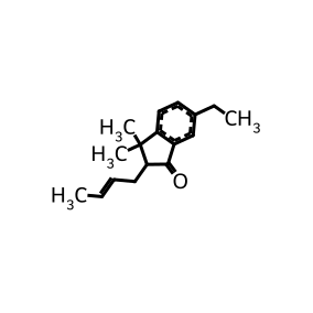 CC=CCC1C(=O)c2cc(CC)ccc2C1(C)C